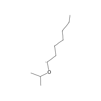 CCCCCC[CH]OC(C)C